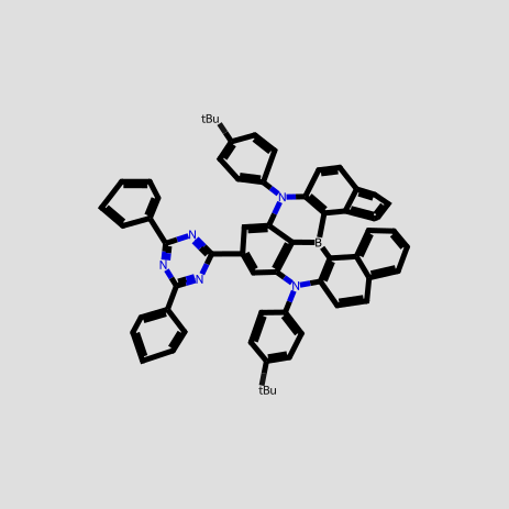 CC(C)(C)c1ccc(N2c3cc(-c4nc(-c5ccccc5)nc(-c5ccccc5)n4)cc4c3B(c3c2ccc2ccccc32)c2c(ccc3ccccc23)N4c2ccc(C(C)(C)C)cc2)cc1